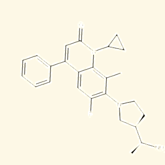 Cc1c(N2CC[C@@H]([C@H](C)N)C2)c(F)cc2c(-c3ccccc3)cc(=O)n(C3CC3)c12